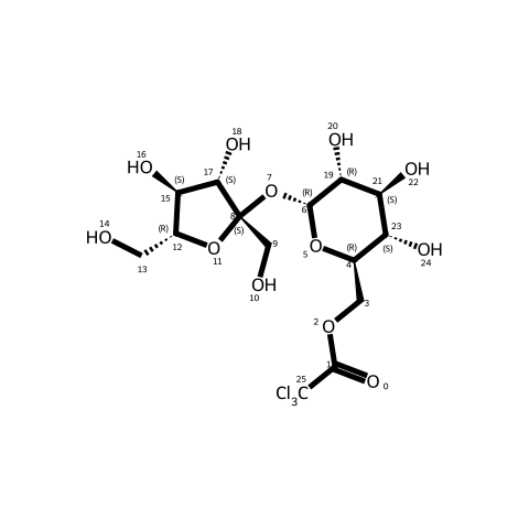 O=C(OC[C@H]1O[C@H](O[C@]2(CO)O[C@H](CO)[C@@H](O)[C@@H]2O)[C@H](O)[C@@H](O)[C@@H]1O)C(Cl)(Cl)Cl